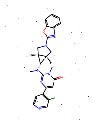 CN(c1nc(-c2ccncc2F)cc(=O)n1C)[C@@H]1[C@@H]2CN(c3nc4ccccc4o3)C[C@@H]21